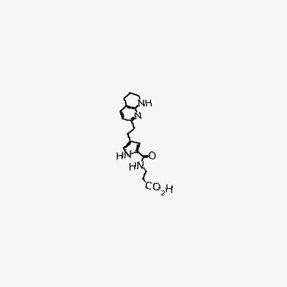 O=C(O)CCNC(=O)c1cc(CCc2ccc3c(n2)NCCC3)c[nH]1